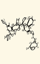 CCNC(=O)c1cc(C(C)(C)C)cc(NC(=O)C(=O)c2ccc(OCCN3CCOCC3)c3ccccc23)c1O